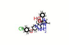 COC(/C(CN)=C1/NC(C)=CN(c2ccccc2O)C1=O)N1CCC(Oc2ccc(Cl)cc2)CC1